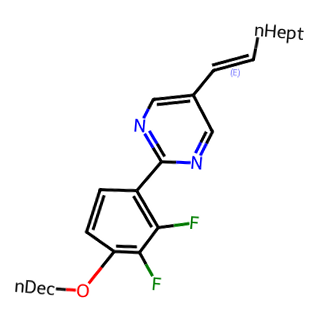 CCCCCCC/C=C/c1cnc(-c2ccc(OCCCCCCCCCC)c(F)c2F)nc1